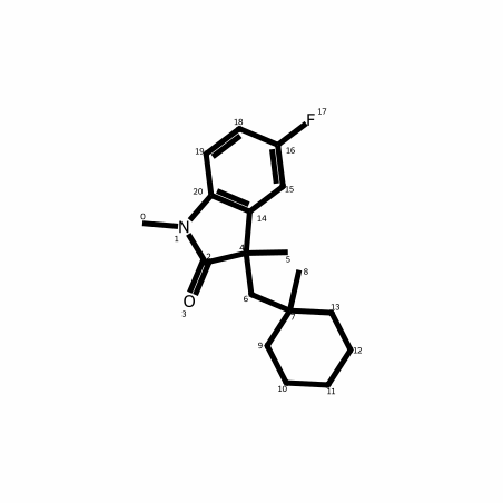 CN1C(=O)C(C)(CC2(C)CCCCC2)c2cc(F)ccc21